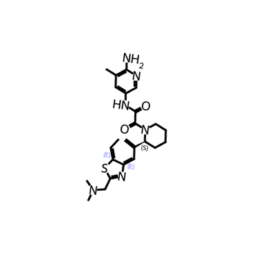 C=C(/C=c1/nc(CN(C)C)s/c1=C/C)[C@@H]1CCCCN1C(=O)C(=O)Nc1cnc(N)c(C)c1